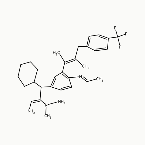 C/C=N/c1ccc(C(/C(=C/N)N(C)N)C2CCCCC2)cc1/C(C)=C(\C)Cc1ccc(C(F)(F)F)cc1